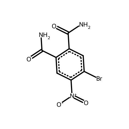 NC(=O)c1cc(Br)c([N+](=O)[O-])cc1C(N)=O